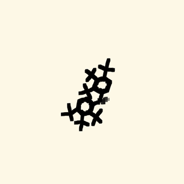 CC(C)(C)c1cc[c]([Pd-2][c]2ccc(C(C)(C)C)c(C(C)(C)C)c2C(C)(C)C)c(C(C)(C)C)c1C(C)(C)C